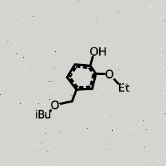 CCOc1cc(COC(C)CC)ccc1O